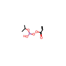 C=CC(=O)OOP(O)OC(C)C